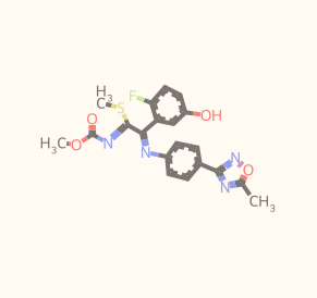 COC(=O)/N=C(SC)/C(=N/c1ccc(-c2noc(C)n2)cc1)c1cc(O)ccc1F